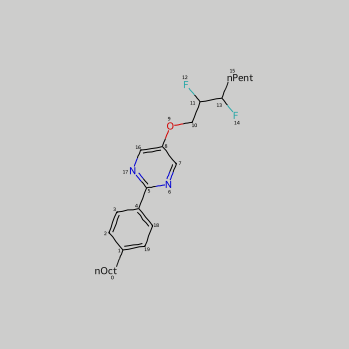 CCCCCCCCc1ccc(-c2ncc(OCC(F)C(F)CCCCC)cn2)cc1